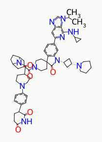 CC(C)n1cnc2cc(-c3ccc4c(c3)N([C@H]3C[C@@H](N5CCCCC5)C3)C(=O)C43CCN(C(=O)C4CC5CCC(C4)N5C(=O)C4CCN(c5ccc(C6CCC(=O)NC6=O)cc5)CC4)CC3)nc(NC3CC3)c21